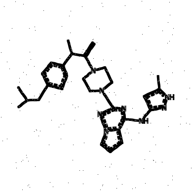 C=C(C(C)c1ccc(CC(C)C)cc1)N1CCN(c2nc(Nc3cc(C)[nH]n3)c3cccn3n2)CC1